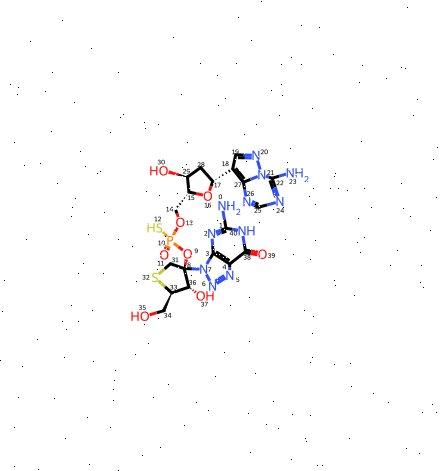 Nc1nc2c(nnn2[C@@]2(OP(=O)(S)OC[C@H]3O[C@@H](c4cnn5c(N)ncnc45)C[C@@H]3O)CS[C@H](CO)[C@H]2O)c(=O)[nH]1